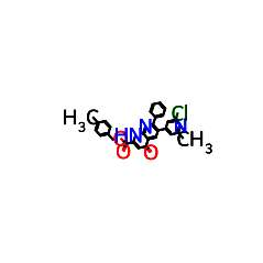 Cc1ccc(COC(=O)c2cc(=O)c3cc(-c4cc(C)nc(Cl)c4)c(-c4ccccc4)nc3[nH]2)cc1